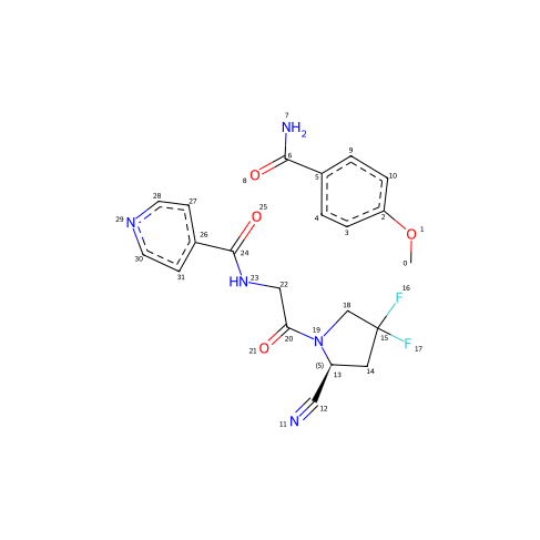 COc1ccc(C(N)=O)cc1.N#C[C@@H]1CC(F)(F)CN1C(=O)CNC(=O)c1ccncc1